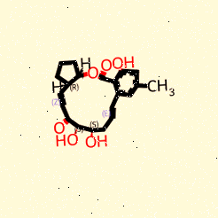 Cc1cc(O)c2c(c1)/C=C/C[C@H](O)[C@H](O)C(=O)/C=C\[C@H]1CCC[C@@H]1OC2=O